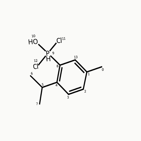 Cc1ccc(C(C)C)c([PH](O)(Cl)Cl)c1